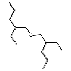 CCCC(CC)COCC(CC)CCC